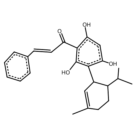 CC1=CC(c2c(O)cc(O)c(C(=O)/C=C/c3ccccc3)c2O)C(C(C)C)CC1